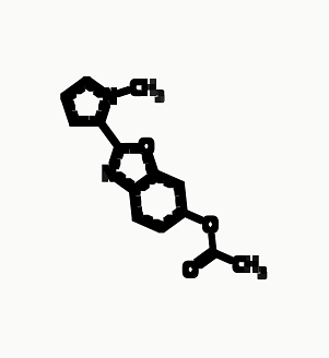 CC(=O)Oc1ccc2nc(-c3cccn3C)oc2c1